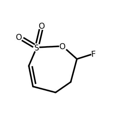 O=S1(=O)C=CCCC(F)O1